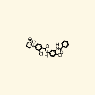 O=C(Nc1cc(NC(=O)c2ccc(N3CCCS3(=O)=O)cc2Cl)ccc1Cl)c1ccccc1